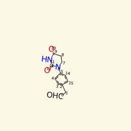 O=CCc1ccc(N2CCC(=O)NC2=O)cc1